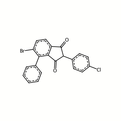 O=C1c2ccc(Br)c(-c3ccccc3)c2C(=O)C1c1ccc(Cl)cc1